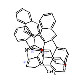 CC1C/C=C(c2ccc3ccccc3c2)/N=C(c2ccc3ccccc3c2)\N=C/1c1ccccc1-c1cc2ccccc2c2c1ncc1ccccc12